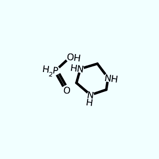 C1NCNCN1.O=[PH2]O